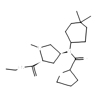 CCNC(=O)[C@@H]1C[C@H](N(C(=O)C2CCCO2)C2CCC(C)(C)CC2)CN1C